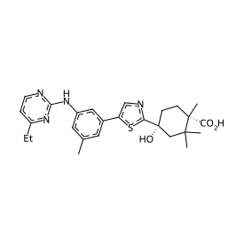 CCc1ccnc(Nc2cc(C)cc(-c3cnc([C@@]4(O)CC[C@](C)(C(=O)O)C(C)(C)C4)s3)c2)n1